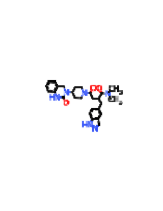 CN(C)C(=O)C(CC(=O)N1CCC(N2Cc3ccccc3NC2=O)CC1)Cc1ccc2[nH]ncc2c1